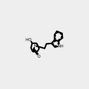 O=C1C2CCC(C(O)C2)N1CCc1c[nH]c2ccccc12